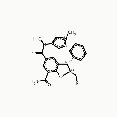 CN(C(=O)c1cc(C(N)=O)c2c(c1)[C@H](c1ccccc1)[C@@H](CF)O2)c1cnn(C)c1